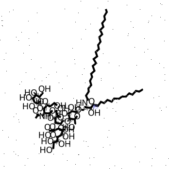 CCCCCCCCCCCCC/C=C/[C@@H](O)[C@H](CO[C@@H]1OC(CO)[C@@H](O[C@@H]2OC(CO)[C@H](O[C@@H]3OC(CO)[C@H](O)[C@H](O[C@@H]4OC(CO)[C@H](O)[C@H](O)C4O)C3NC(C)=O)[C@H](O[C@]3(C(=O)O)CC(O)[C@@H](O)C([C@H](O)[C@H](O)CO)O3)C2O)[C@H](O)C1O)NC(=O)CCCCCCCCCCCCCCCCCCCCCCCCC